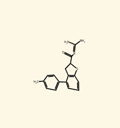 Cc1ccc(-c2cccc3c2CC(C(=O)N=C(N)N)S3)cc1